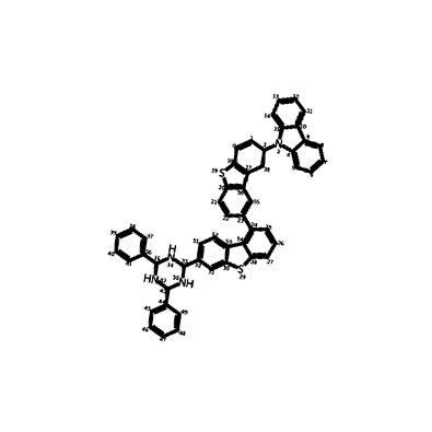 C1=CC(n2c3ccccc3c3ccccc32)Cc2c1sc1ccc(-c3cccc4sc5cc(C6NC(c7ccccc7)NC(c7ccccc7)N6)ccc5c34)cc21